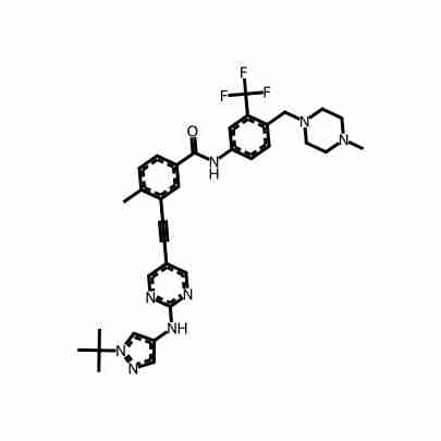 Cc1ccc(C(=O)Nc2ccc(CN3CCN(C)CC3)c(C(F)(F)F)c2)cc1C#Cc1cnc(Nc2cnn(C(C)(C)C)c2)nc1